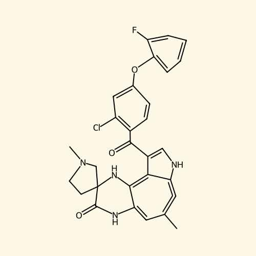 CC1=C=c2[nH]cc(C(=O)c3ccc(Oc4ccccc4F)cc3Cl)c2=C2NC3(CCN(C)C3)C(=O)NC2=C1